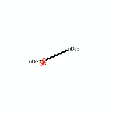 CCCCCCCCCCCCCCCCCCCCCCCOS(=O)(=O)CCCCCCCCCCC